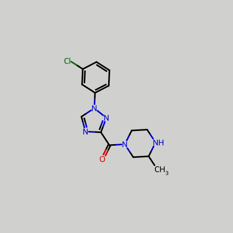 CC1CN(C(=O)c2ncn(-c3cccc(Cl)c3)n2)CCN1